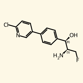 N[C@H](CF)[C@H](O)c1ccc(-c2ccc(Cl)nc2)cc1